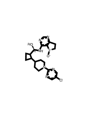 [O-][S+]1CCc2ncnc(N[C@H](O)C3CCC3C3CCN(c4ncc(Cl)cn4)CC3)c21